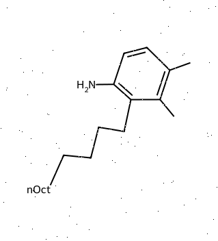 CCCCCCCCCCCCc1c(N)ccc(C)c1C